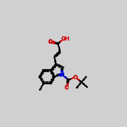 Cc1ccc2c(C=CC(=O)O)cn(C(=O)OC(C)(C)C)c2c1